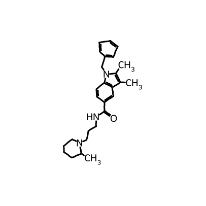 Cc1c(C)n(Cc2ccccc2)c2ccc(C(=O)NCCCN3CCCCC3C)cc12